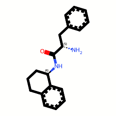 N[C@@H](Cc1ccccc1)C(=O)N[C@@H]1CCCc2ccccc21